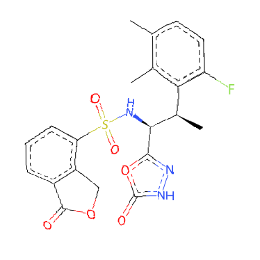 Cc1ccc(F)c([C@@H](C)[C@H](NS(=O)(=O)c2cccc3c2COC3=O)c2n[nH]c(=O)o2)c1C